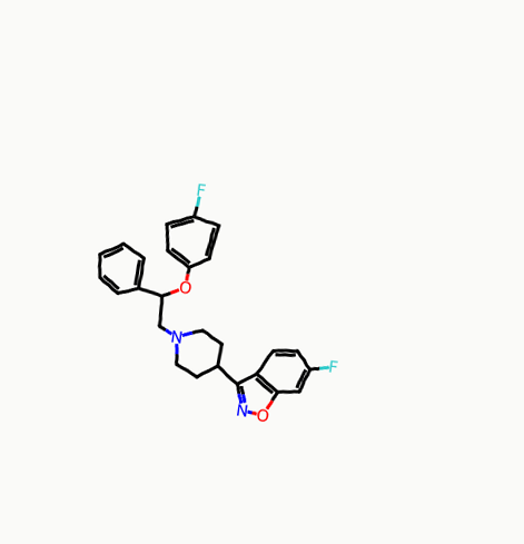 Fc1ccc(OC(CN2CCC(c3noc4cc(F)ccc34)CC2)c2ccccc2)cc1